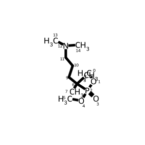 COP(=O)(OC)C(C)(C)CCCN(C)C